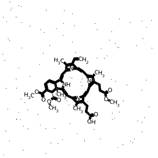 C=CC1=C(C)c2cc3[nH]c(cc4nc(cc5[nH]c(cc1n2)c(C)c5CCC(=O)OC)C(CCC(=O)O)=C4C)[C@@]1(C)C3=CC=C(C(=O)OC)[C@H]1C(=O)OC